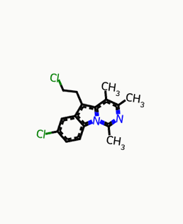 Cc1nc(C)n2c(c1C)c(CCCl)c1cc(Cl)ccc12